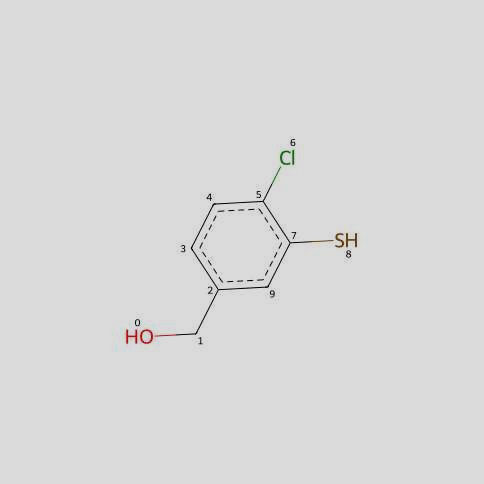 OCc1ccc(Cl)c(S)c1